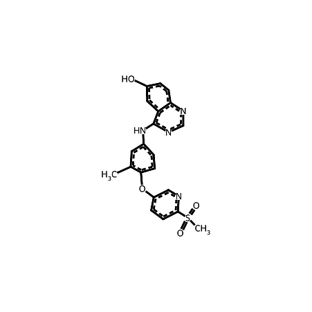 Cc1cc(Nc2ncnc3ccc(O)cc23)ccc1Oc1ccc(S(C)(=O)=O)nc1